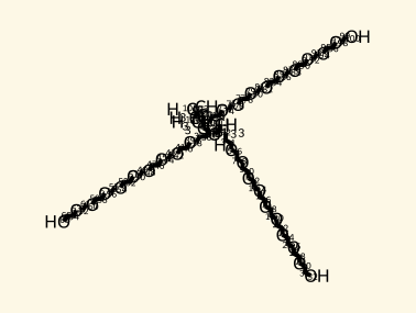 C[SiH](CCCOCCOCCOCCOCCOCCOCCOCCOCCOCCO)O[Si](C)(CCCOCCOCCOCCOCCOCCOCCOCCOCCOCCO)O[Si](C)(CCCOCCOCCOCCOCCOCCOCCOCCOCCOCCO)O[Si](C)(C)C